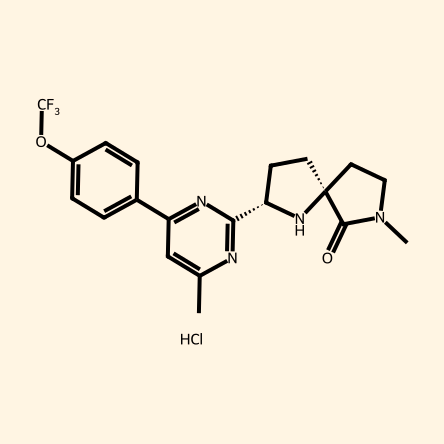 Cc1cc(-c2ccc(OC(F)(F)F)cc2)nc([C@@H]2CC[C@@]3(CCN(C)C3=O)N2)n1.Cl